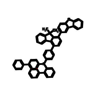 CC1(C)c2ccccc2-c2c(-c3ccc(N(c4ccc(-c5ccccc5)cc4)c4ccccc4-c4ccccc4)cc3)ccc(-c3ccc4oc5ccccc5c4c3)c21